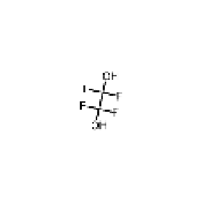 OC(F)(F)C(O)(F)F